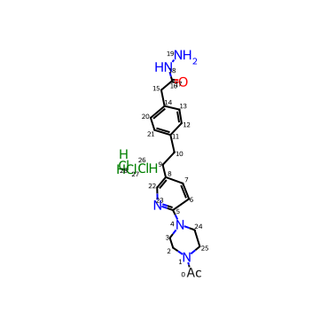 CC(=O)N1CCN(c2ccc(CCc3ccc(CC(=O)NN)cc3)cn2)CC1.Cl.Cl.Cl